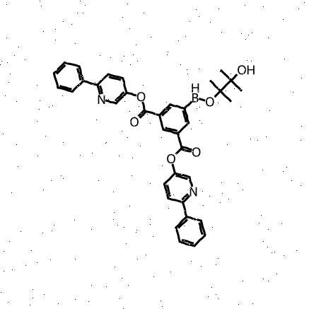 CC(C)(O)C(C)(C)OBc1cc(C(=O)Oc2ccc(-c3ccccc3)nc2)cc(C(=O)Oc2ccc(-c3ccccc3)nc2)c1